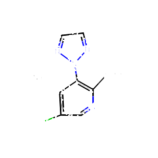 O=C([O-])c1ncc(Cl)cc1-n1nccn1.[Na+]